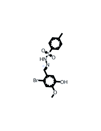 COc1cc(Br)c(/C=N/NS(=O)(=O)c2ccc(C)cc2)cc1O